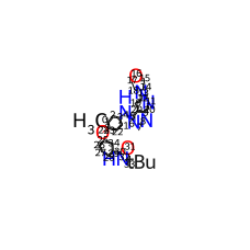 Cc1cc(Nc2ncnc3cnc(N4CCOCC4)cc23)ccc1Oc1cccc(C(=O)NC(C)(C)C)c1